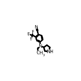 CCN(c1ccc(C#N)c(C(F)(F)F)c1)C1CCNC1